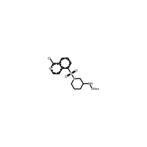 CCCCCCNC1CCCN(S(=O)(=O)c2cccc3c(Cl)nccc23)C1